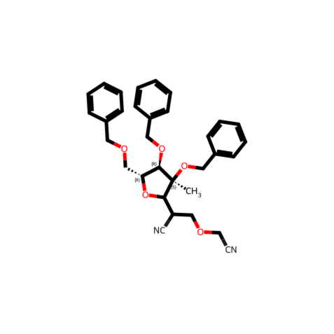 C[C@]1(OCc2ccccc2)C(C(C#N)COCC#N)O[C@H](COCc2ccccc2)[C@H]1OCc1ccccc1